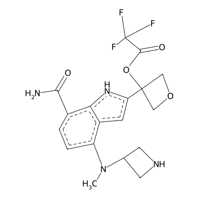 CN(c1ccc(C(N)=O)c2[nH]c(C3(OC(=O)C(F)(F)F)COC3)cc12)C1CNC1